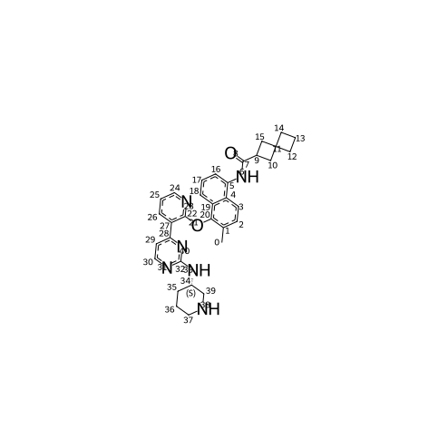 Cc1ccc2c(NC(=O)C3CC4(CCC4)C3)cccc2c1Oc1ncccc1-c1ccnc(N[C@H]2CCCNC2)n1